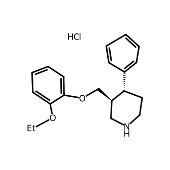 CCOc1ccccc1OC[C@@H]1CNCC[C@H]1c1ccccc1.Cl